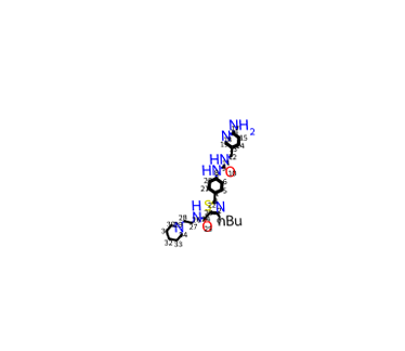 CCCCc1nc(-c2ccc(NC(=O)NCc3ccc(N)nc3)cc2)sc1C(=O)NCCN1CCCCC1